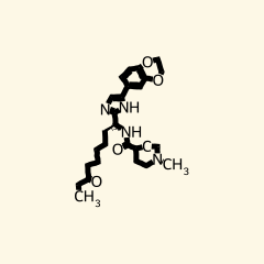 CCC(=O)CCCCC[C@H](NC(=O)C1CCN(C)CC1)c1ncc(-c2ccc3c(c2)OCCO3)[nH]1